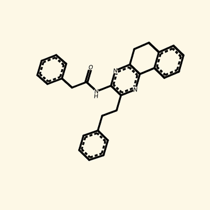 O=C(Cc1ccccc1)Nc1nc2c(nc1CCc1ccccc1)-c1ccccc1CC2